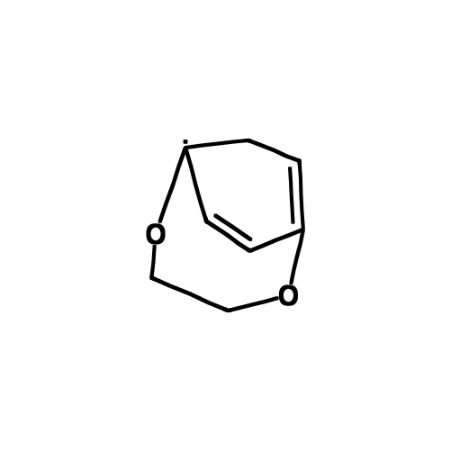 C1=CC2=CC[C]1OCCO2